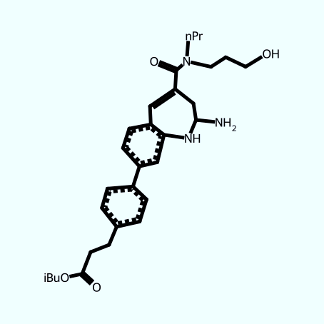 CCCN(CCCO)C(=O)C1=Cc2ccc(-c3ccc(CCC(=O)OCC(C)C)cc3)cc2NC(N)C1